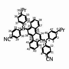 CC(C)c1ccc(N(c2ccc(C#N)cc2)c2cc3c4ccccc4c(N(c4ccc(C#N)cc4)c4ccc(C(C)C)cc4)cc3c3ccccc23)cc1